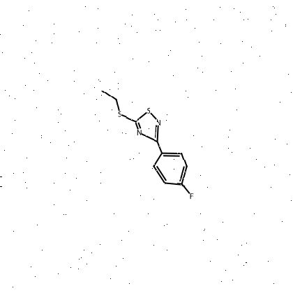 CCSc1nc(-c2ccc(F)cc2)ns1